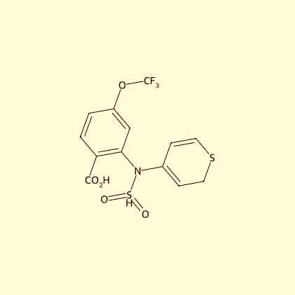 O=C(O)c1ccc(OC(F)(F)F)cc1N(C1=CCSC=C1)[SH](=O)=O